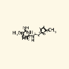 Cc1ccc(CCNC(=N)NC(=N)N(C)C)s1